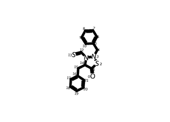 O=C1SN(Cc2ccccc2)N(C=S)C1Cc1ccccc1